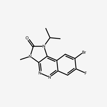 CC(C)n1c(=O)n(C)c2nnc3cc(F)c(Br)cc3c21